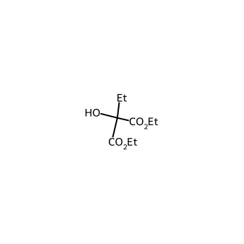 CCOC(=O)C(O)(CC)C(=O)OCC